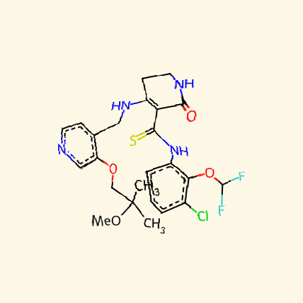 COC(C)(C)COc1cnccc1CNC1=C(C(=S)Nc2cccc(Cl)c2OC(F)F)C(=O)NCC1